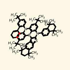 CC(C)(C)c1ccc2c(c1)B1c3c(cc(C(C)(C)C)cc3N(c3ccc4c(c3)C(C)(C)CCC4(C)C)c3sc4cc5c(cc4c31)C(C)(C)CCC5(C)C)N2c1ccc(C(C)(C)C)cc1C1=CCCC=C1